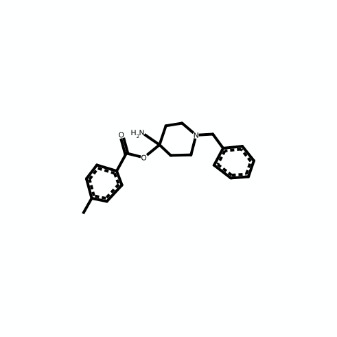 Cc1ccc(C(=O)OC2(N)CCN(Cc3ccccc3)CC2)cc1